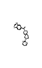 CC(c1ccc2scnc2c1)N1CCC2(CCN(c3ncccn3)C2)CC1